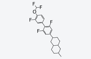 CC1CCC2CC(c3cc(F)c(-c4ccc(OC(F)F)c(F)c4)c(F)c3)CCC2C1